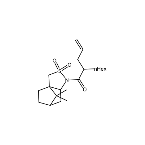 C=CCC(CCCCCC)C(=O)N1C2CC3CCC2(CS1(=O)=O)C3(C)C